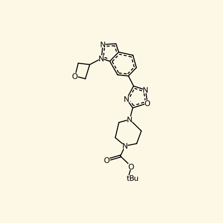 CC(C)(C)OC(=O)N1CCN(c2nc(-c3ccc4cnn(C5COC5)c4c3)no2)CC1